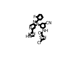 N#CC1CC(NC(=O)c2ncc(Cl)s2)CC(n2c(-c3ccccc3F)nc3cnc(-c4nc[nH]n4)cc32)C1